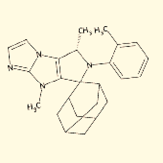 Cc1ccccc1N1[C@@H](C)c2c(n(C)c3nccn23)C12C1CC3CC(C1)CC2C3